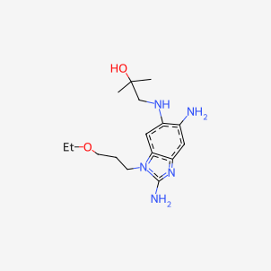 CCOCCCn1c(N)nc2cc(N)c(NCC(C)(C)O)cc21